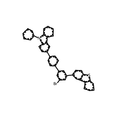 Brc1cc(-c2ccc(-c3ccc4c(c3)c3ccccc3n4-c3ccccc3)cc2)cc(-c2ccc3sc4ccccc4c3c2)c1